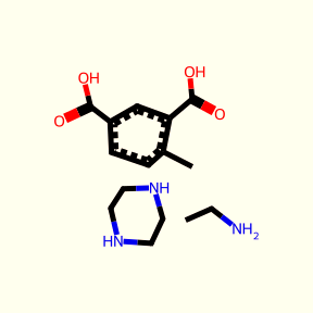 C1CNCCN1.CCN.Cc1ccc(C(=O)O)cc1C(=O)O